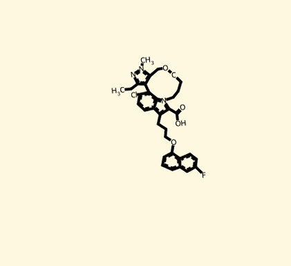 CCc1nn(C)c2c1-c1c(Cl)ccc3c(CCCOc4cccc5cc(F)ccc45)c(C(=O)O)n(c13)CCCCOC2